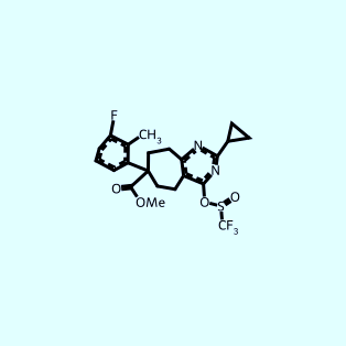 COC(=O)C1(c2cccc(F)c2C)CCc2nc(C3CC3)nc(OS(=O)C(F)(F)F)c2CC1